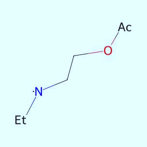 CC[N]CCOC(C)=O